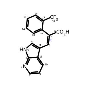 O=C(O)/C(=C/c1c[nH]c2ncccc12)c1ccccc1C(F)(F)F